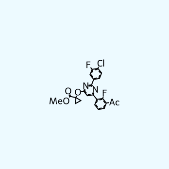 COC(=O)C1(Oc2cc(-c3cccc(C(C)=O)c3F)nc(-c3ccc(Cl)c(F)c3)n2)CC1